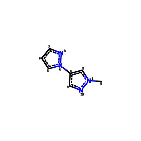 Cn1cc(-n2cccn2)cn1